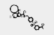 CC(=O)c1cccc(S(=O)(=O)c2ccc(CNC(=O)c3cc4c([nH]3)C3(CCCCCCCCC3)CNC4)cc2)c1